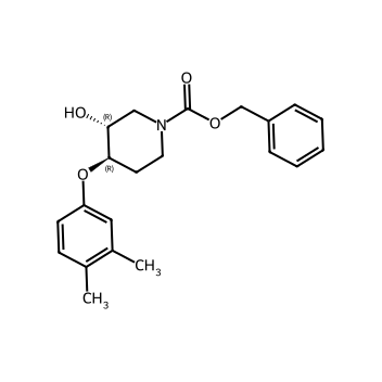 Cc1ccc(O[C@@H]2CCN(C(=O)OCc3ccccc3)C[C@H]2O)cc1C